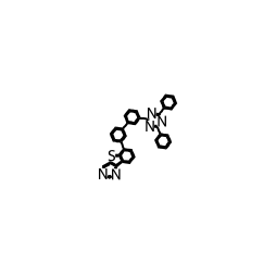 c1ccc(-c2nc(-c3ccccc3)nc(-c3cccc(-c4cccc(-c5cccc6c5sc5cncnc56)c4)c3)n2)cc1